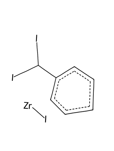 IC(I)c1ccccc1.[Zr][I]